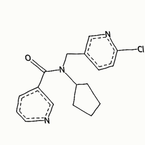 O=C(c1cccnc1)N(Cc1ccc(Cl)nc1)C1CCCC1